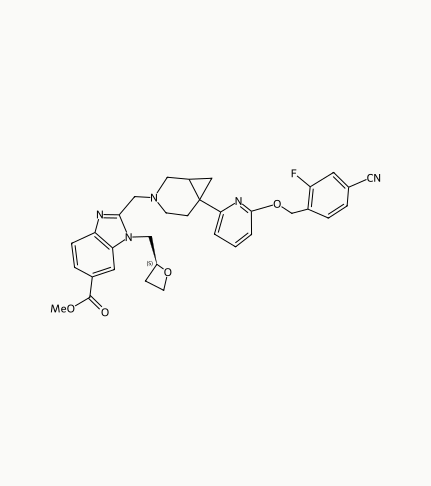 COC(=O)c1ccc2nc(CN3CCC4(c5cccc(OCc6ccc(C#N)cc6F)n5)CC4C3)n(C[C@@H]3CCO3)c2c1